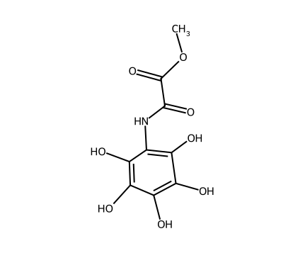 COC(=O)C(=O)Nc1c(O)c(O)c(O)c(O)c1O